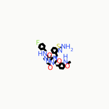 C=C1Nc2cc(C[C@H]3C(=O)N(Cc4cccc5sc(N)nc45)C[C@H]4N3C(=O)CN4N(C)C(=O)NCc3ccc(F)cc3)ccc2O1